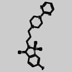 O=C1c2ccc(F)cc2S(=O)(=O)N1CCCN1CCN(c2ncccn2)CC1